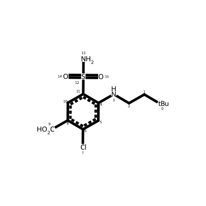 CC(C)(C)CCNc1cc(Cl)c(C(=O)O)cc1S(N)(=O)=O